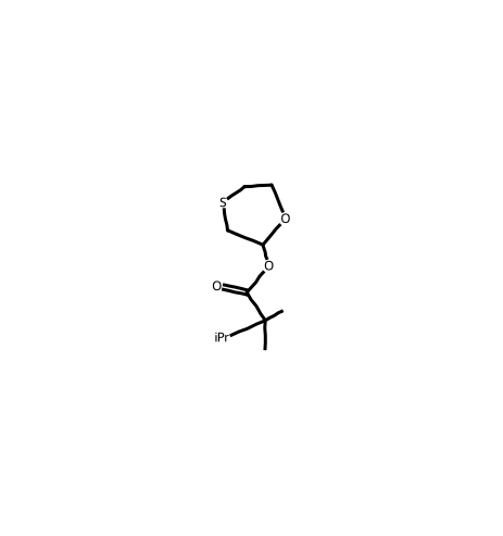 CC(C)C(C)(C)C(=O)OC1CSCCO1